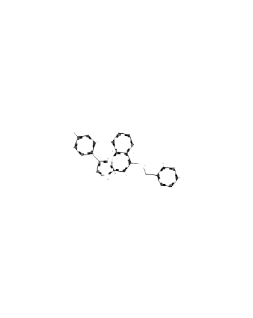 Fc1ccc(-c2cnc3cc(OCc4ccccc4)c4ccccc4n23)cc1